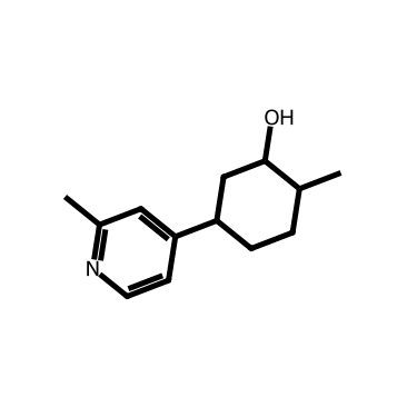 Cc1cc(C2CCC(C)C(O)C2)ccn1